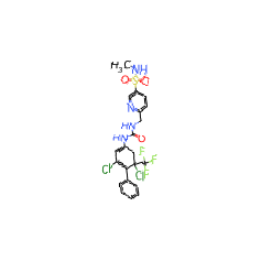 CNS(=O)(=O)c1ccc(CNC(=O)NC2=CC(Cl)=C(c3ccccc3)C(Cl)(C(F)(F)F)C2)nc1